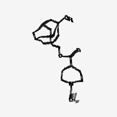 CN1CCC(C(=O)OCC23CC4CC(CC(O)(C4)C2)C3)CC1